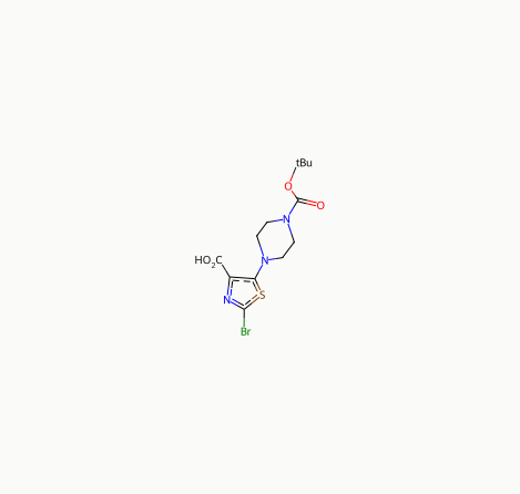 CC(C)(C)OC(=O)N1CCN(c2sc(Br)nc2C(=O)O)CC1